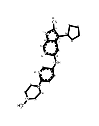 CN1CCN(c2ccc(Nc3cc4c(C5CCCC5)c(C#N)sc4cn3)cn2)CC1